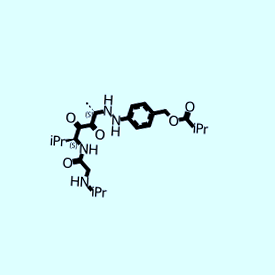 CC(C)NCC(=O)N[C@H](C(=O)C(=O)[C@H](C)NNc1ccc(COC(=O)C(C)C)cc1)C(C)C